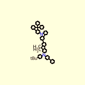 CC(C)(C)c1ccc(N(c2ccc(-c3ccccc3)cc2)c2ccc3c(c2)C(C)(C)c2cc(-c4ccc5c(c4)c4ccccc4n5-c4ccc5c(c4)C(c4ccccc4)(c4ccccc4)c4ccccc4-5)ccc2-3)cc1